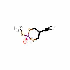 C#CC1CSP(=O)(SC)SC1